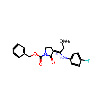 COC/C(Nc1ccc(F)cc1)=C1\CCN(C(=O)OCc2ccccc2)C1=O